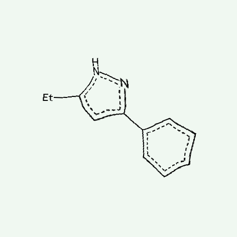 [CH2]Cc1cc(-c2ccccc2)n[nH]1